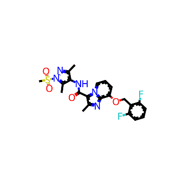 Cc1nn(S(C)(=O)=O)c(C)c1NC(=O)c1c(C)nc2c(OCc3c(F)cccc3F)cccn12